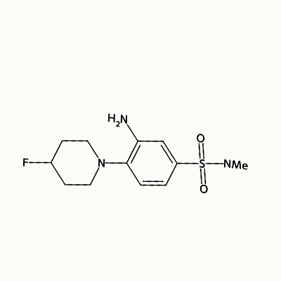 CNS(=O)(=O)c1ccc(N2CCC(F)CC2)c(N)c1